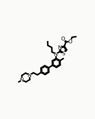 CCCCN(c1nc(C(=O)OCC)cs1)c1cc(-c2ccc(CCN3CCN(C)CC3)cc2)ccc1C